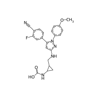 COc1ccc(-n2nc(NCC3CC3NC(=O)O)cc2-c2ccc(C#N)c(F)c2)cc1